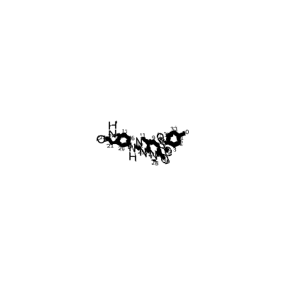 Cc1ccc(S(=O)(=O)c2cc3cnc(Nc4ccc5c(c4)CC(=O)N5)nc3n(C)c2=O)cc1